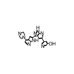 CN1CCN(c2ccnc3[nH]c(-c4n[nH]c5ncc(-c6cncc(O)c6)cc45)cc23)CC1